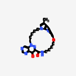 Cc1cn2c3ncc(cc13)OCCCCNC(=O)c1nn(c3cncnc3c1=O)CCCCC2